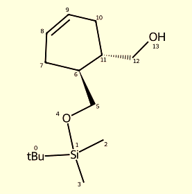 CC(C)(C)[Si](C)(C)OC[C@H]1CC=CC[C@@H]1CO